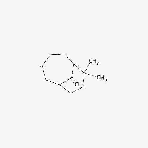 C=C1C2C[CH]CCC1C(C)(C)CC2